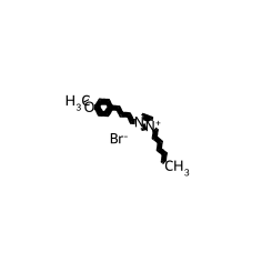 CCCCCCC[n+]1ccn(CCCCc2ccc(OC)cc2)c1.[Br-]